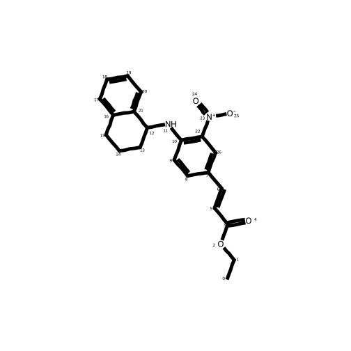 CCOC(=O)C=Cc1ccc(NC2CCCc3ccccc32)c([N+](=O)[O-])c1